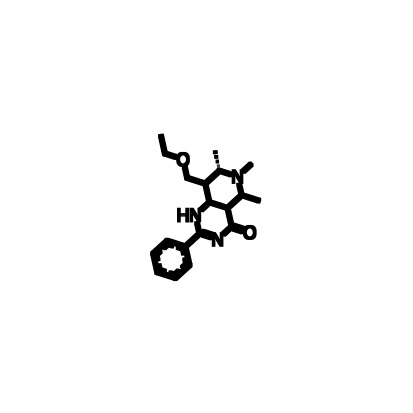 CCOCC1C2NC(c3ccccc3)=NC(=O)C2C(C)N(C)[C@H]1C